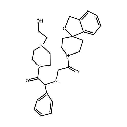 O=C(CNC(C(=O)N1CCN(CCO)CC1)c1ccccc1)N1CCC2(CC1)OCc1ccccc12